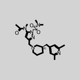 CC(=O)N(C)c1cc(CN2CCC[C@H](Cc3cc(C)nc(C)c3)C2)nn1S(=O)(=O)N(C)C